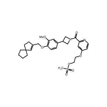 COc1cc(C2CN(C(=O)c3cc(OCCOS(C)(=O)=O)ccn3)C2)ccc1OCC1=CC2(CCCC2)CC1